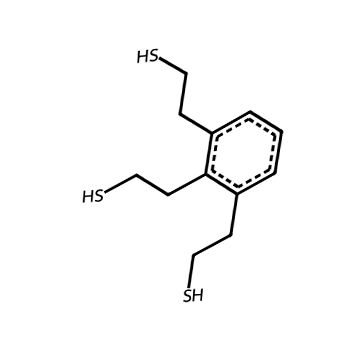 SCCc1cccc(CCS)c1CCS